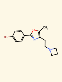 Cc1oc(-c2ccc(Br)cc2)nc1CCN1CCC1